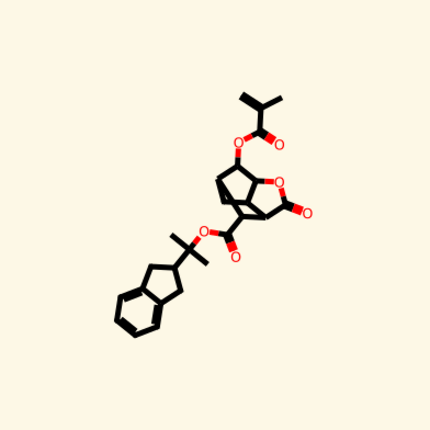 C=C(C)C(=O)OC1C2CC3C1OC(=O)C3C2C(=O)OC(C)(C)C1Cc2ccccc2C1